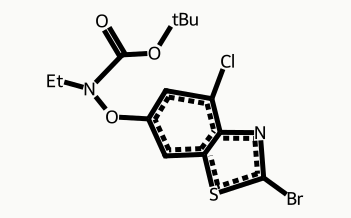 CCN(Oc1cc(Cl)c2nc(Br)sc2c1)C(=O)OC(C)(C)C